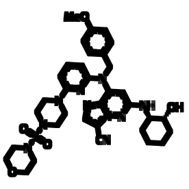 COc1ccc(CN(c2cccc(N3CCN(S(=O)(=O)N4CCOCC4)CC3)n2)c2cc(N[C@@H]3CCCC[C@H]3O)nn3c(C#N)cnc23)cc1